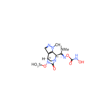 CN/C(=N\OC(=O)NO)[C@@H]1c2c(cnn2C)[C@H]2CN1C(=O)N2OS(=O)(=O)O